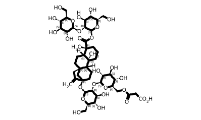 C=C1C[C@@]23CC[C@H]4[C@@](C)(CCC[C@@]4(C)C(=O)O[C@@H]4O[C@H](CO)[C@@H](O)[C@H](O)[C@H]4O[C@@H]4O[C@H](CO)[C@@H](O)[C@H](O)[C@H]4O)[C@@H]2CC[C@@]1(O[C@@H]1O[C@H](CO)[C@@H](O)[C@H](O)[C@H]1O[C@@H]1O[C@H](COC(=O)CC(=O)O)[C@@H](O)[C@H](O)[C@H]1O)C3